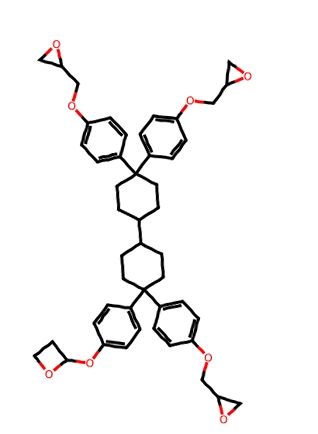 c1cc(C2(c3ccc(OCC4CO4)cc3)CCC(C3CCC(c4ccc(OCC5CO5)cc4)(c4ccc(OC5CCO5)cc4)CC3)CC2)ccc1OCC1CO1